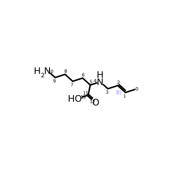 C/C=C/CNC(CCCCN)C(=O)O